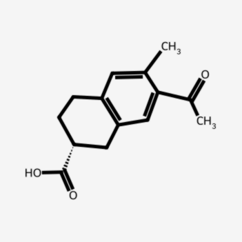 CC(=O)c1cc2c(cc1C)CC[C@@H](C(=O)O)C2